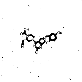 COc1ccc(Cl)c(CN2Cc3nc(Cl)nc(N4CCN(C(=O)O)[C@@H](CC#N)C4)c3C2)c1